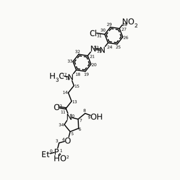 CC[PH](=O)COC1CC(CO)N(C(=O)CCCN(C)c2ccc(/N=N/c3ccc([N+](=O)[O-])cc3Cl)cc2)C1